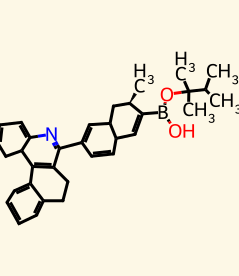 CC(C)C(C)(C)OB(O)C1=CC2C=CC(C3=NC4=CC=CCC4C4=C3CCc3ccccc34)=CC2C[C@H]1C